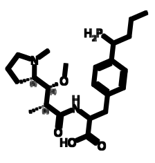 CCCC(P)c1ccc(CC(NC(=O)[C@H](C)[C@@H](OC)[C@@H]2CCCN2C)C(=O)O)cc1